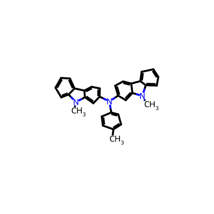 Cc1ccc(N(c2ccc3c4ccccc4n(C)c3c2)c2ccc3c4ccccc4n(C)c3c2)cc1